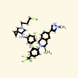 C[C@@H]1Cc2cc(-c3cnn(C)c3)ccc2[C@@H](c2c(F)cc(N[C@@H]3CN(CCCF)CC34CC4)cc2F)N1c1ccc(C(F)(F)F)cc1